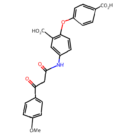 COc1ccc(C(=O)CC(=O)Nc2ccc(Oc3ccc(C(=O)O)cc3)c(C(=O)O)c2)cc1